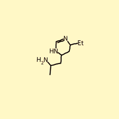 CCC1CC(CC(C)N)NC=N1